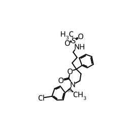 C[C@@H](c1ccc(Cl)cc1)N1CCC(CCCNS(C)(=O)=O)(c2ccccc2)OC1=O